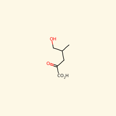 CC(CO)CC(=O)C(=O)O